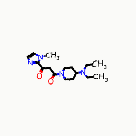 CCN(CC)C1CCN(C(=O)CC(=O)c2nccn2C)CC1